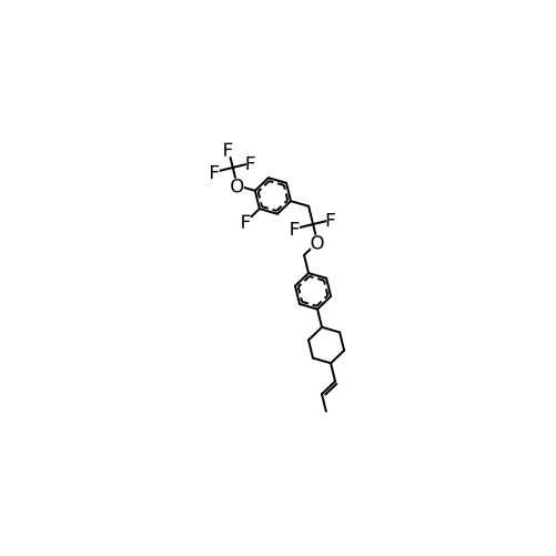 CC=CC1CCC(c2ccc(COC(F)(F)Cc3ccc(OC(F)(F)F)c(F)c3)cc2)CC1